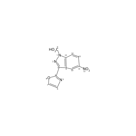 O=C(O)n1nc(-c2ncco2)c2cc([N+](=O)[O-])ccc21